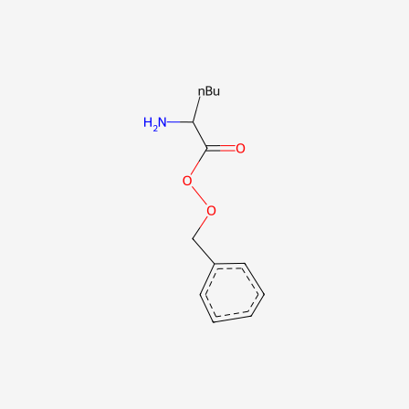 CCCCC(N)C(=O)OOCc1ccccc1